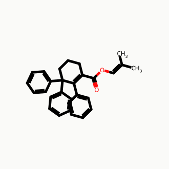 CC(C)=COC(=O)C1=C(c2ccccc2)C(c2ccccc2)(c2ccccc2)CCC1